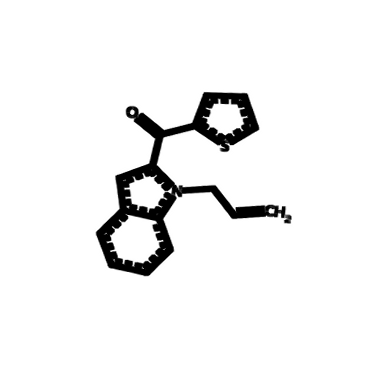 C=CCn1c(C(=O)c2cccs2)cc2ccccc21